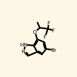 CC(Oc1cc(Br)cc2cn[nH]c12)C(F)(F)F